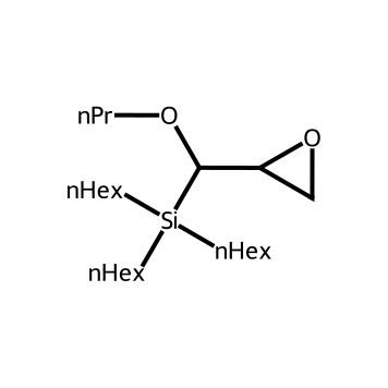 CCCCCC[Si](CCCCCC)(CCCCCC)C(OCCC)C1CO1